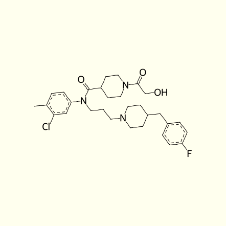 Cc1ccc(N(CCCN2CCC(Cc3ccc(F)cc3)CC2)C(=O)C2CCN(C(=O)CO)CC2)cc1Cl